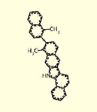 Cc1c(-c2ccc3cc4c(cc3c2C)[nH]c2c3ccccc3ccc42)ccc2ccccc12